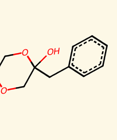 OC1(Cc2ccccc2)COCCO1